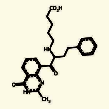 Cc1nc2c(C(=O)C(CCc3ccccc3)NCCCCC(=O)O)cccc2c(=O)[nH]1